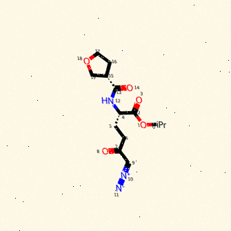 CC(C)OC(=O)[C@H](CCC(=O)C=[N+]=[N-])NC(=O)[C@H]1CCOC1